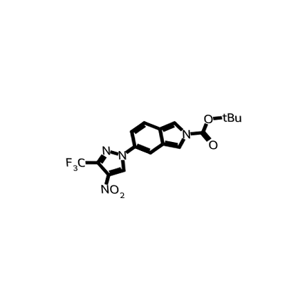 CC(C)(C)OC(=O)n1cc2ccc(-n3cc([N+](=O)[O-])c(C(F)(F)F)n3)cc2c1